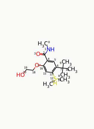 CNC(=O)c1cc(C(C)(C)C)c([SH](C)C)cc1OCCO